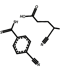 CC(C#N)CCC(=O)O.N#Cc1ccc(C(=S)S)cc1